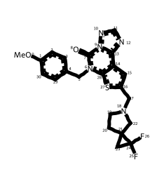 COc1ccc(Cn2c(=O)n3ncnc3c3cc(CN4CCC5(C4)CC5(F)F)sc32)cc1